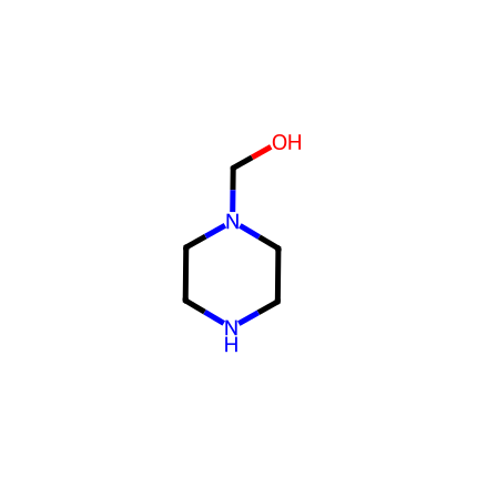 OCN1CCNCC1